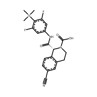 C[Si](C)(C)c1c(F)cc(NC(=O)[C@H]2c3ccc(C#N)cc3CCN2C(=O)O)cc1F